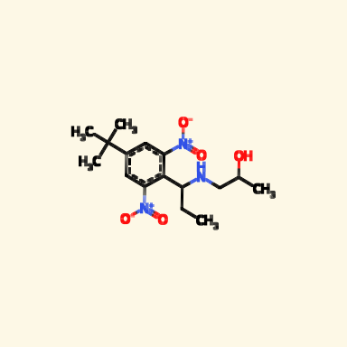 CCC(NCC(C)O)c1c([N+](=O)[O-])cc(C(C)(C)C)cc1[N+](=O)[O-]